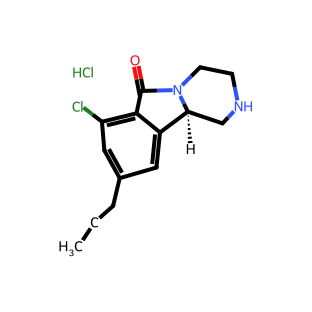 CCCc1cc(Cl)c2c(c1)[C@@H]1CNCCN1C2=O.Cl